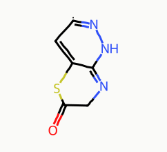 O=C1CN=C2NN=[C]C=C2S1